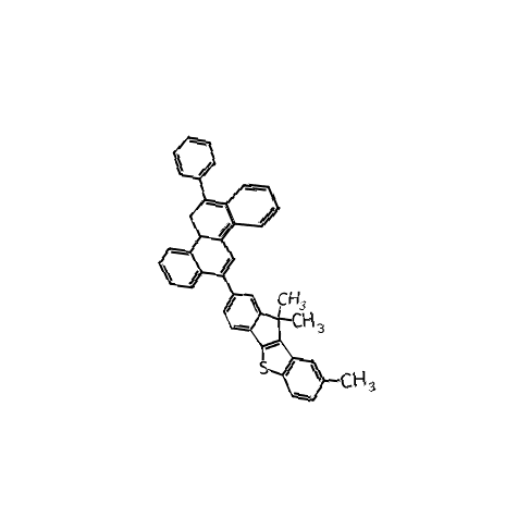 Cc1ccc2sc3c(c2c1)C(C)(C)c1cc(C2=CC4=c5ccccc5=C(c5ccccc5)CC4c4ccccc42)ccc1-3